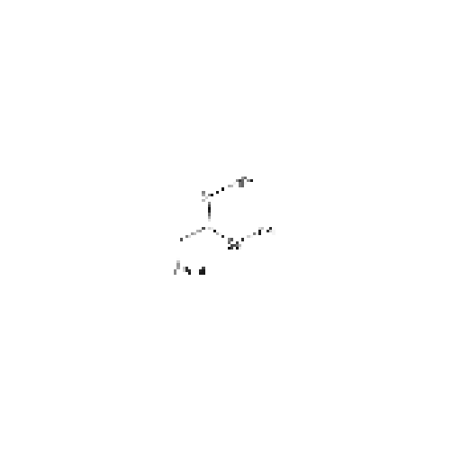 CCCCCCC([Se]CCC)[Se]CCC